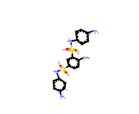 COc1ccc(S(=O)(=O)Nc2ccc(N)cc2)cc1S(=O)(=O)Nc1ccc(N)cc1